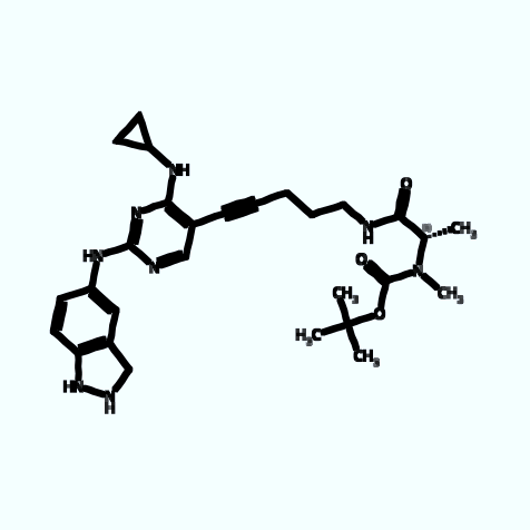 C[C@@H](C(=O)NCCCC#Cc1cnc(Nc2ccc3c(c2)CNN3)nc1NC1CC1)N(C)C(=O)OC(C)(C)C